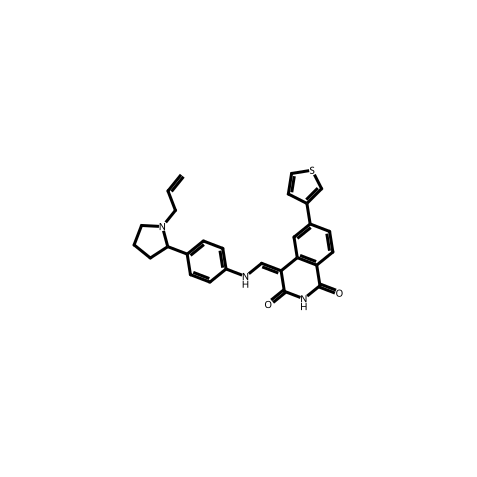 C=CCN1CCCC1c1ccc(N/C=C2\C(=O)NC(=O)c3ccc(-c4ccsc4)cc32)cc1